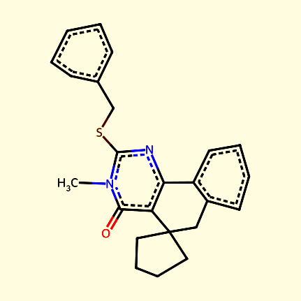 Cn1c(SCc2ccccc2)nc2c(c1=O)C1(CCCC1)Cc1ccccc1-2